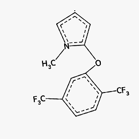 Cn1c[c]cc1Oc1cc(C(F)(F)F)ccc1C(F)(F)F